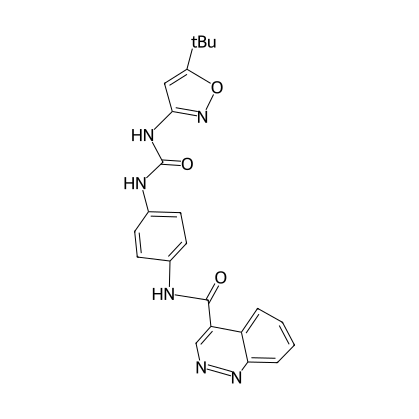 CC(C)(C)c1cc(NC(=O)Nc2ccc(NC(=O)c3cnnc4ccccc34)cc2)no1